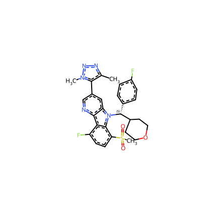 Cc1nnn(C)c1-c1cnc2c3c(F)ccc(S(C)(=O)=O)c3n([C@H](c3ccc(F)cc3)C3CCOCC3)c2c1